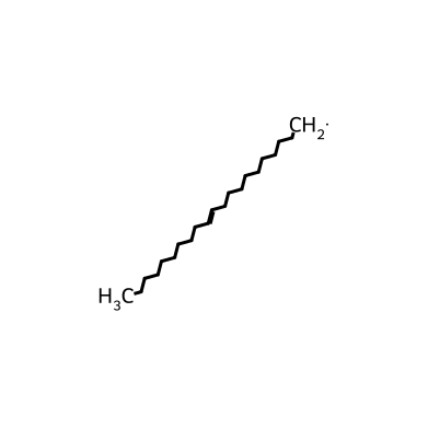 [CH2]CCCCCCCCCC=CCCCCCCCCC